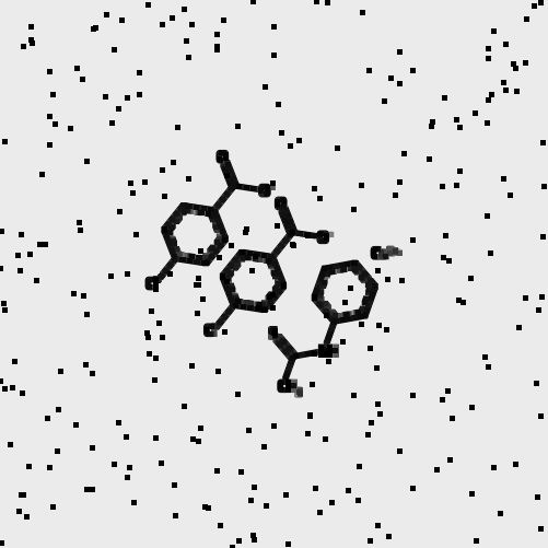 CC(=S)Nc1ccccc1.O=C([O-])c1ccc(Cl)cc1.O=C([O-])c1ccc(Cl)cc1.[Cu+2]